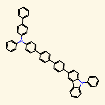 c1ccc(-c2ccc(N(c3ccccc3)c3ccc(-c4ccc(-c5ccc(-c6ccc7c(c6)c6ccccc6n7-c6ccccc6)cc5)cc4)cc3)cc2)cc1